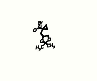 CC1(C)OCC(CC2([S+]([O-])Br)CC2)O1